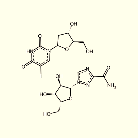 NC(=O)c1ncn([C@@H]2O[C@H](CO)[C@@H](O)[C@H]2O)n1.O=c1[nH]c(=O)n(C2C[C@H](O)[C@@H](CO)O2)cc1I